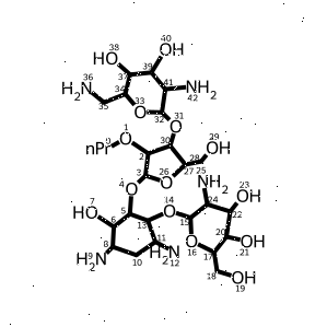 CCCOC1C(OC2C(O)C(N)CC(N)C2OC2OC(CO)C(O)C(O)C2N)OC(CO)C1OC1OC(CN)C(O)C(O)C1N